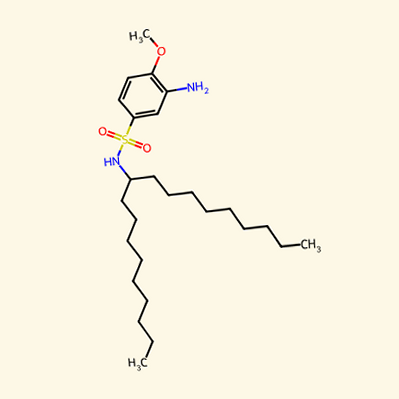 CCCCCCCCCC(CCCCCCCCC)NS(=O)(=O)c1ccc(OC)c(N)c1